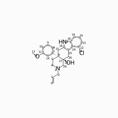 C=CCN1CC[C@@]2(c3cccc(OC)c3)Cc3[nH]c4cccc(Cl)c4c3C[C@]2(O)C1